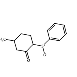 CC1CCC([S+]([O-])c2ccccc2)C(=O)C1